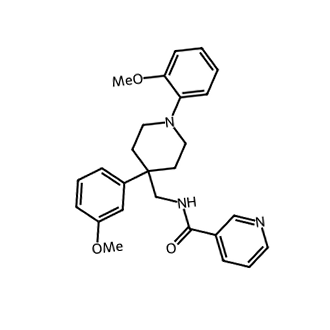 COc1cccc(C2(CNC(=O)c3cccnc3)CCN(c3ccccc3OC)CC2)c1